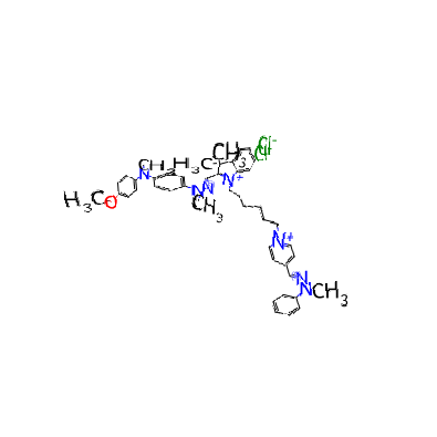 COc1ccc(N(C)c2ccc(N(C)/N=C/C3=[N+](CCCCCC[n+]4ccc(/C=N/N(C)c5ccccc5)cc4)c4ccccc4C3(C)C)cc2)cc1.[Cl-].[Cl-]